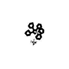 F[B-](F)(F)F.c1ccc(C2=C(c3ccccc3)[N+](c3ccccc3)(c3ccccc3)CC2c2ccccc2)cc1